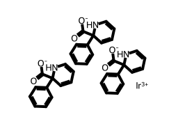 O=C([O-])C1(c2ccccc2)C=CC=CN1.O=C([O-])C1(c2ccccc2)C=CC=CN1.O=C([O-])C1(c2ccccc2)C=CC=CN1.[Ir+3]